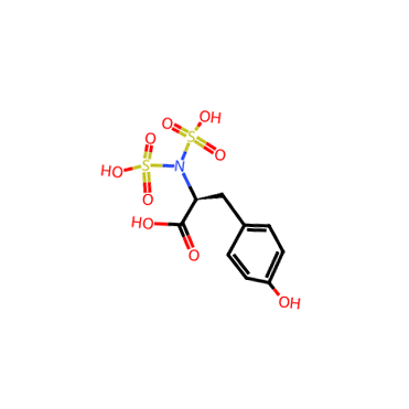 O=C(O)[C@H](Cc1ccc(O)cc1)N(S(=O)(=O)O)S(=O)(=O)O